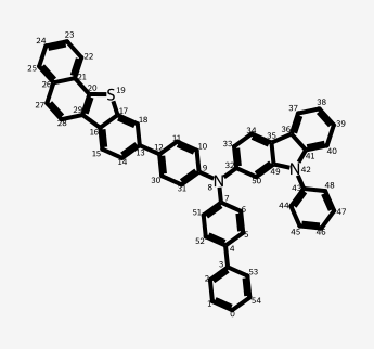 c1ccc(-c2ccc(N(c3ccc(-c4ccc5c(c4)sc4c6ccccc6ccc54)cc3)c3ccc4c5ccccc5n(-c5ccccc5)c4c3)cc2)cc1